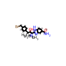 C=C(/C(O)=C(/c1nc2cc(C(N)=O)ccc2[nH]1)N(C)C)c1ccc(CBr)cc1